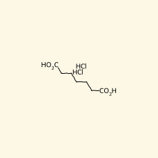 Cl.Cl.O=C(O)CCCCCC(=O)O